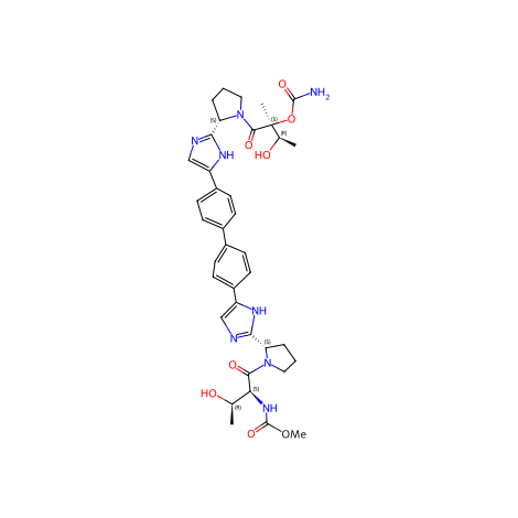 COC(=O)N[C@H](C(=O)N1CCC[C@H]1c1ncc(-c2ccc(-c3ccc(-c4cnc([C@@H]5CCCN5C(=O)[C@@](C)(OC(N)=O)[C@@H](C)O)[nH]4)cc3)cc2)[nH]1)[C@@H](C)O